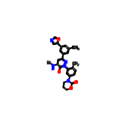 CCNc1cc(-c2cc(C)cc(-c3cnco3)c2)nn(-c2cc(N3CCCOC3=O)ccc2C(F)(F)F)c1=O